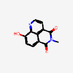 CN1C(=O)c2ccnc3c(O)ccc(c23)C1=O